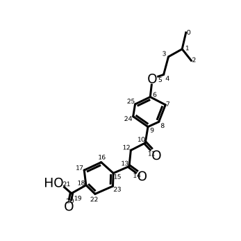 CC(C)CCOc1ccc(C(=O)CC(=O)c2ccc(C(=O)O)cc2)cc1